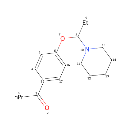 CCCC(=O)c1ccc(OC(CC)N2CCCCC2)cc1